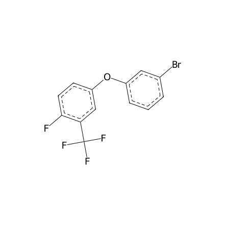 Fc1ccc(Oc2cccc(Br)c2)cc1C(F)(F)F